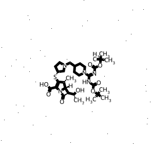 C[C@@H](O)[C@H]1C(=O)N2C(C(=O)O)=C(S[C@@H]3CCN(CC4CCN(/C(=N\C(=O)OC(C)(C)C)NC(=O)OC(C)(C)C)CC4)C3)[C@H](C)[C@H]12